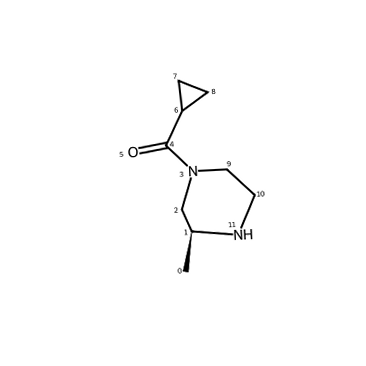 C[C@H]1CN(C(=O)C2CC2)CCN1